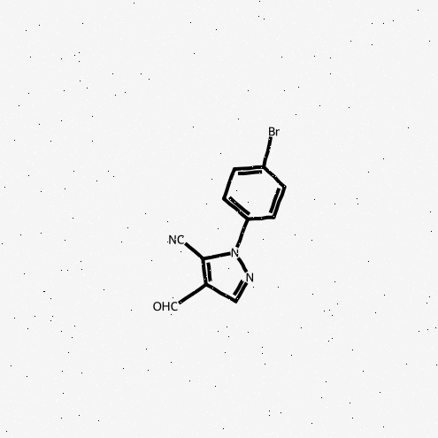 N#Cc1c(C=O)cnn1-c1ccc(Br)cc1